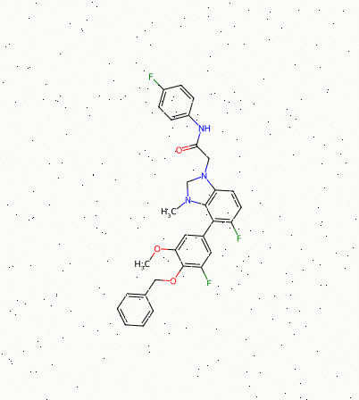 COc1cc(-c2c(F)ccc3c2N(C)CN3CC(=O)Nc2ccc(F)cc2)cc(F)c1OCc1ccccc1